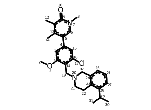 COc1cc(-c2cn(C)c(=O)c(C)c2C)cc(Cl)c1CN1CCc2c(cccc2C(C)C)C1